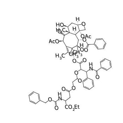 CCOC(=O)C(CC(=O)OCC(=O)OC(C(=O)O[C@H]1C[C@@]2(O)[C@@H](OC(=O)c3ccccc3)[C@@H]3[C@]4(OC(C)=O)CO[C@@H]4C[C@H](O)[C@@]3(C)C(=O)[C@H](OC(C)=O)C(=C1C)C2(C)C)C(NC(=O)c1ccccc1)c1ccccc1)NC(=O)OCc1ccccc1